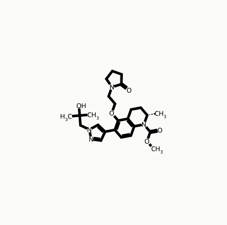 COC(=O)N1c2ccc(-c3cnn(CC(C)(C)O)c3)c(OCCN3CCCC3=O)c2CC[C@@H]1C